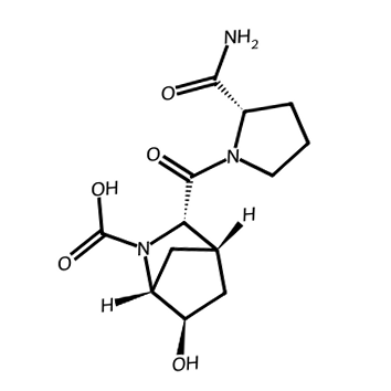 NC(=O)[C@@H]1CCCN1C(=O)[C@@H]1[C@@H]2C[C@@H](O)[C@@H](C2)N1C(=O)O